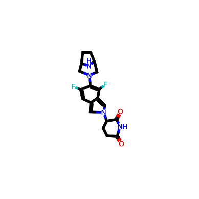 O=C1CCC(n2cc3cc(F)c(N4CC5CCC(C4)N5)c(F)c3c2)C(=O)N1